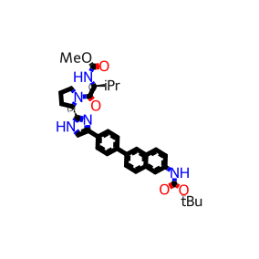 COC(=O)N[C@H](C(=O)N1CCC[C@H]1c1nc(-c2ccc(-c3ccc4cc(NC(=O)OC(C)(C)C)ccc4c3)cc2)c[nH]1)C(C)C